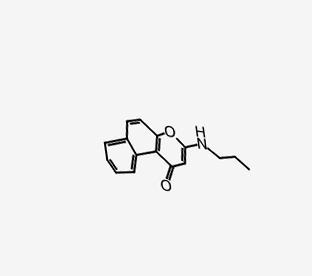 CCCNc1cc(=O)c2c(ccc3ccccc32)o1